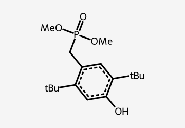 COP(=O)(Cc1cc(C(C)(C)C)c(O)cc1C(C)(C)C)OC